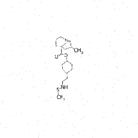 CC1C=C2CCCC(C(=O)OC3CCC(CCNSC(F)(F)F)CC3)(C2)C1